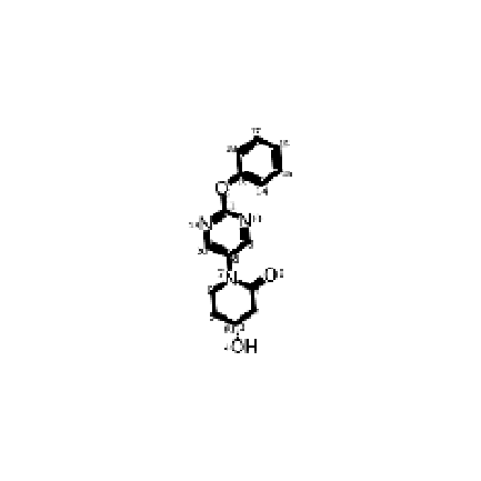 O=C1C[C@H](O)CCN1c1cnc(Oc2ccccc2)nc1